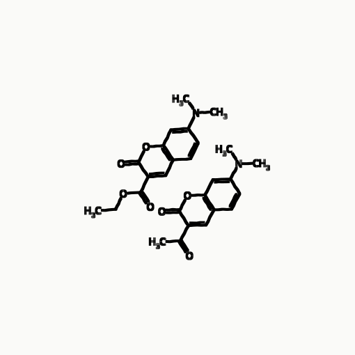 CC(=O)c1cc2ccc(N(C)C)cc2oc1=O.CCOC(=O)c1cc2ccc(N(C)C)cc2oc1=O